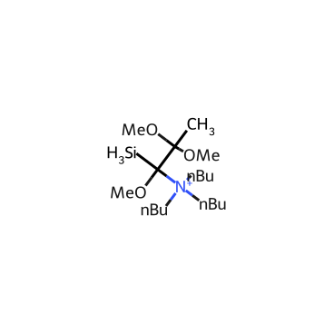 CCCC[N+](CCCC)(CCCC)C([SiH3])(OC)C(C)(OC)OC